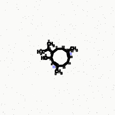 C/C1=C/C(O)C(C(C)C)CC/C(C)=C\CC1